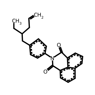 C=CCC(CC)Cc1ccc(N2C(=O)c3cccc4cccc(c34)C2=O)cc1